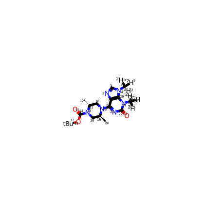 [2H]C([2H])([2H])n1cnc2c(N3C[C@@H](C)N(C(=O)OC(C)(C)C)C[C@@H]3C)nc(=O)n(C([2H])([2H])[2H])c21